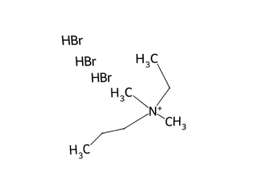 Br.Br.Br.CCC[N+](C)(C)CC